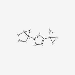 FC(F)(F)C1(c2coc(C34CNCC3C4)n2)CC1